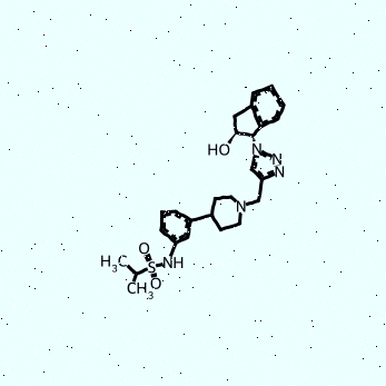 CC(C)S(=O)(=O)Nc1cccc(C2CCN(Cc3cn([C@H]4c5ccccc5C[C@@H]4O)nn3)CC2)c1